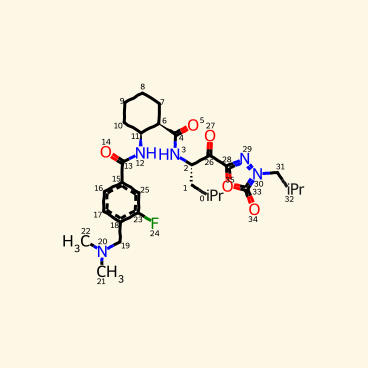 CC(C)C[C@H](NC(=O)[C@@H]1CCCC[C@@H]1NC(=O)c1ccc(CN(C)C)c(F)c1)C(=O)c1nn(CC(C)C)c(=O)o1